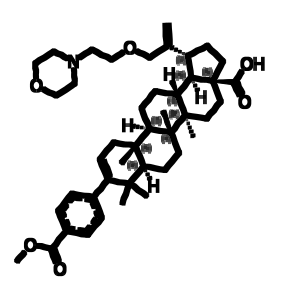 C=C(COCCN1CCOCC1)[C@@H]1CC[C@]2(C(=O)O)CC[C@]3(C)[C@H](CC[C@@H]4[C@@]5(C)CC=C(c6ccc(C(=O)OC)cc6)C(C)(C)[C@@H]5CC[C@]43C)[C@@H]12